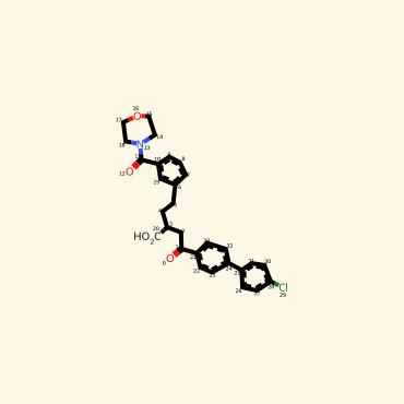 O=C(CC(CCc1cccc(C(=O)N2CCOCC2)c1)C(=O)O)c1ccc(-c2ccc(Cl)cc2)cc1